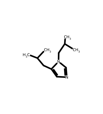 CC(C)Cc1cncn1CC(C)C